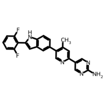 Cc1cc(-c2cnc(N)nc2)ncc1-c1ccc2[nH]c(-c3c(F)cccc3F)cc2c1